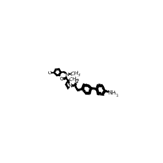 CN(Cc1ccc(Cl)cc1)C(=O)C1(C)CCN1C(=O)Cc1ccc(-c2ccc(N)cc2)cc1